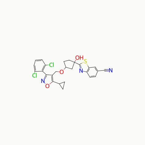 N#Cc1ccc2nc(C3(O)CCC(OCc4c(-c5c(Cl)cccc5Cl)noc4C4CC4)C3)sc2c1